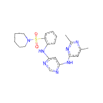 Cc1cc(Nc2cc(Nc3ccccc3S(=O)(=O)N3CCCCC3)ncn2)nc(C)n1